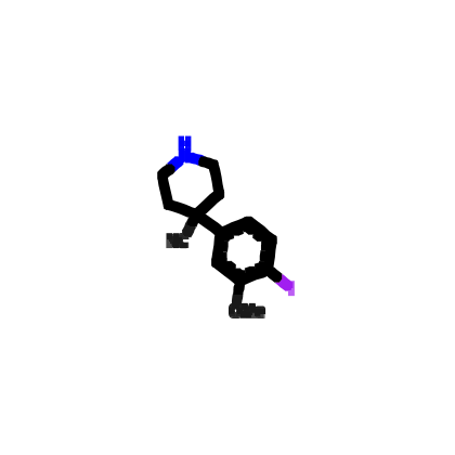 COc1cc(C2(C#N)CCNCC2)ccc1I